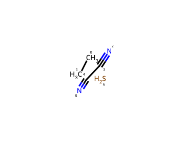 CC.N#CC#N.S